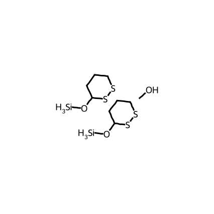 CO.[SiH3]OC1CCCSS1.[SiH3]OC1CCCSS1